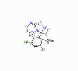 CCc1cc(Cl)c(C#N)c(C2(N3C=NC=CC3)CCN2C(=O)O)c1OC